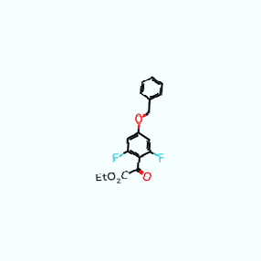 CCOC(=O)C(=O)c1c(F)cc(OCc2ccccc2)cc1F